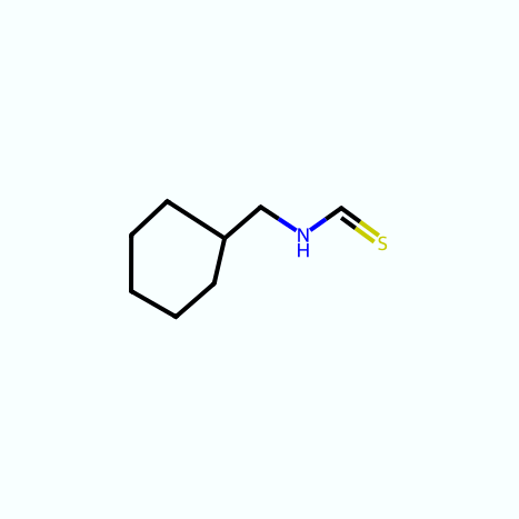 S=CNCC1CCCCC1